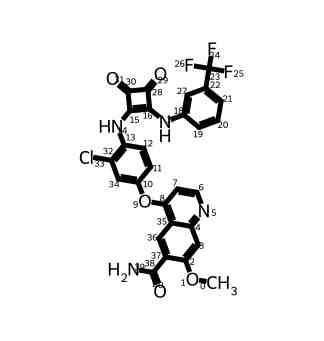 COc1cc2nccc(Oc3ccc(Nc4c(Nc5cccc(C(F)(F)F)c5)c(=O)c4=O)c(Cl)c3)c2cc1C(N)=O